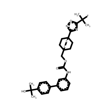 CC(C)(O)c1ccc(-c2cccc(NC(=O)OCC34CCC(c5noc(C(C)(C)F)n5)(CC3)CC4)c2)cc1